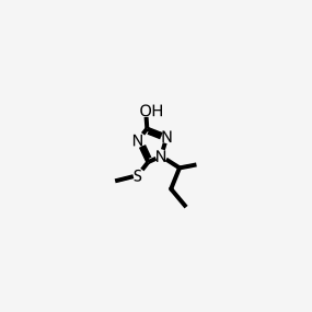 CCC(C)n1nc(O)nc1SC